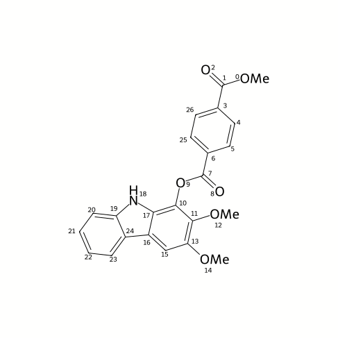 COC(=O)c1ccc(C(=O)Oc2c(OC)c(OC)cc3c2[nH]c2ccccc23)cc1